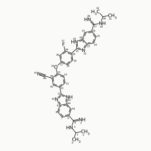 CC(C)NC(=N)c1ccc2nc(-c3ccc(Oc4ccc(-c5nc6ccc(C(=N)NC(C)C)cc6[nH]5)c(F)c4)c(C#N)c3)[nH]c2c1